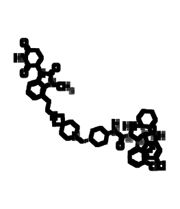 Cn1c(=O)n(C2CCC(=O)NC2=O)c2cccc(CCN3CC4(CCN(C[C@H]5CC[C@H](NC(=O)[C@@H]6NC7(CCCCC7)[C@@]7(C(=O)Nc8cc(Cl)ccc87)[C@H]6c6cccc(Cl)c6F)CC5)CC4)C3)c21